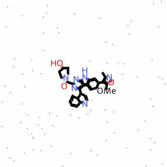 COC1C=c2c([nH]c3nc(C(=O)N4CCC(O)CC4)nc(C4C=CN=C5C=CC=CC54)c23)=CC1c1c(C)noc1C